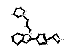 c1ccc2c(c1)nc(-c1ccc(C3COC3)cc1)n2CCCN1CCCCC1